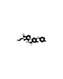 Cc1ccc(Oc2ccc([C@H](C)Nc3nccc4c3CN(CCF)C4=O)cc2F)cc1